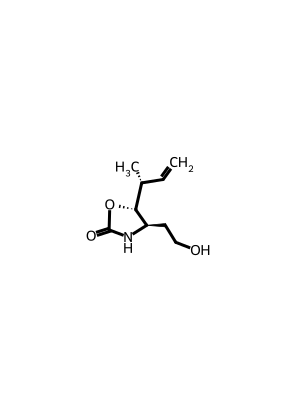 C=C[C@@H](C)[C@H]1OC(=O)N[C@@H]1CCO